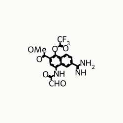 COC(=O)c1cc(NC(=O)C=O)c2cc(C(=N)N)ccc2c1OC(=O)C(F)(F)F